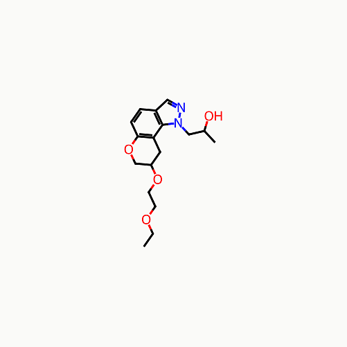 CCOCCOC1COc2ccc3cnn(CC(C)O)c3c2C1